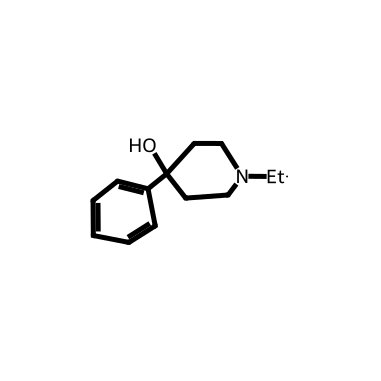 C[CH]N1CCC(O)(c2ccccc2)CC1